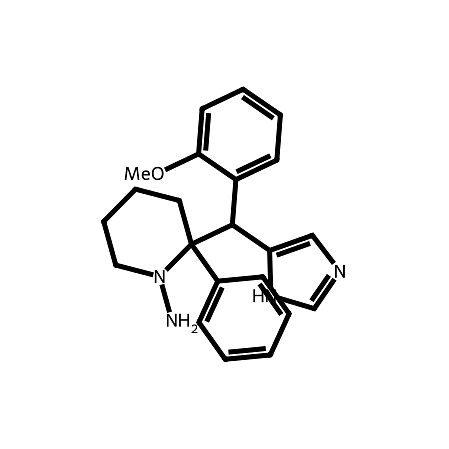 COc1ccccc1C(c1cnc[nH]1)C1(c2ccccc2)CCCCN1N